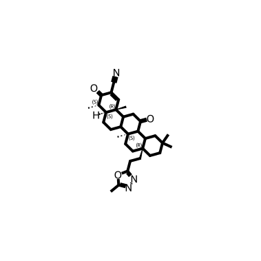 Cc1nnc(CC[C@]23CCC(C)(C)CC2C2C(=O)CC4C(CC[C@H]5[C@H](C)C(=O)C(C#N)=C[C@]45C)[C@]2(C)CC3)o1